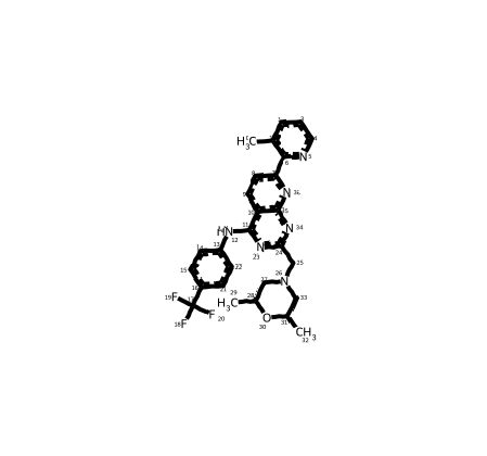 Cc1cccnc1-c1ccc2c(Nc3ccc(C(F)(F)F)cc3)nc(CN3CC(C)OC(C)C3)nc2n1